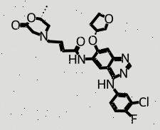 C[C@@H]1CN(CC=CC(=O)Nc2cc3c(Nc4ccc(F)c(Cl)c4)ncnc3cc2O[C@@H]2CCOC2)CC(=O)O1